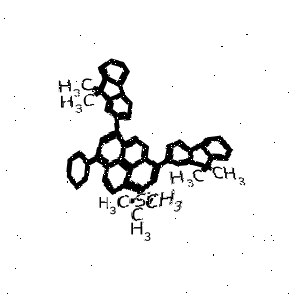 CC1(C)c2ccccc2-c2ccc(-c3cc(C4CCCCC4)c4ccc5c([Si](C)(C)C)cc(-c6ccc7c(c6)C(C)(C)c6ccccc6-7)c6ccc3c4c65)cc21